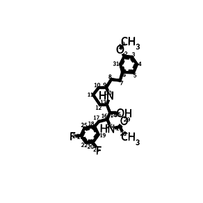 COc1cccc(CCC2CCCC(C(O)C(Cc3cc(F)cc(F)c3)NC(C)=O)N2)c1